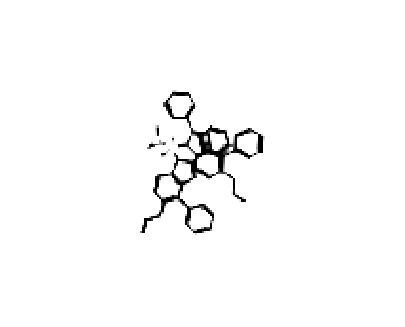 CCCc1ccc2c(c1-c1ccccc1)C=C(c1ccccc1)[CH]2[Zr]([Cl])([Cl])([CH]1C(c2ccccc2)=Cc2c1ccc(CCC)c2-c1ccccc1)[SiH](C)C